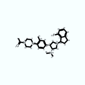 CC(=O)N1CCN(c2ccc([C@H]3CN(C4CCc5cccc(F)c54)C[C@@H]3N(C)C)cc2C)CC1